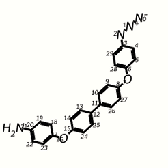 [N-]=[N+]=Nc1ccc(Oc2ccc(-c3ccc(Oc4ccc(N)cc4)cc3)cc2)cc1